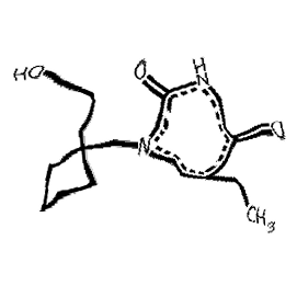 Cc1cn(C2(CO)CCC2)c(=O)[nH]c1=O